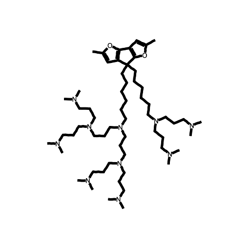 Cc1cc2c(o1)-c1cc(C)oc1C2(CCCCCCN(CCCN(C)C)CCCN(C)C)CCCCCCN(CCCN(CCCN(C)C)CCCN(C)C)CCCN(CCCN(C)C)CCCN(C)C